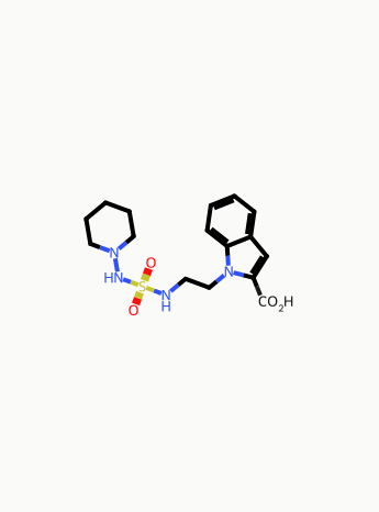 O=C(O)c1cc2ccccc2n1CCNS(=O)(=O)NN1CCCCC1